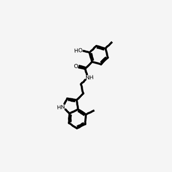 Cc1ccc(C(=O)NCCc2c[nH]c3cccc(C)c23)c(O)c1